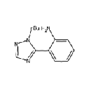 CCCCn1ncnc1-c1ccccc1N